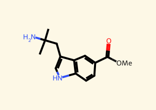 COC(=O)c1ccc2[nH]cc(CC(C)(C)N)c2c1